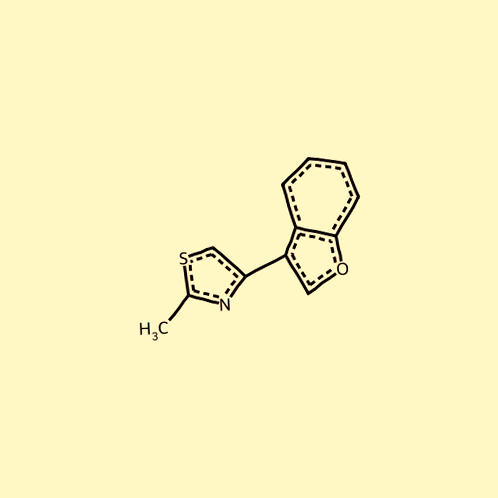 Cc1nc(-c2coc3ccccc23)cs1